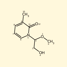 COC(CO)n1cccc(C)c1=O